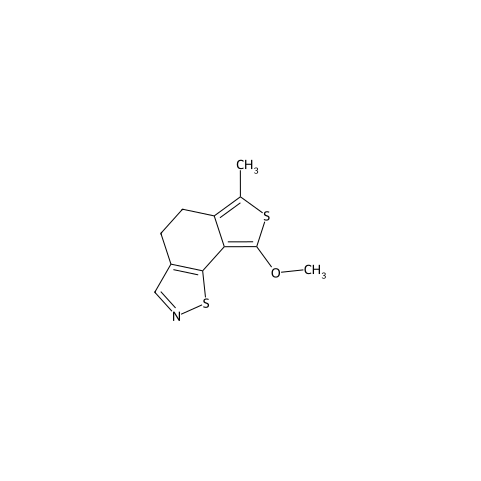 COc1sc(C)c2c1-c1sncc1CC2